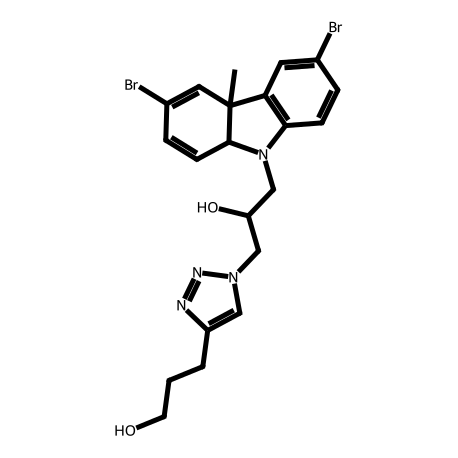 CC12C=C(Br)C=CC1N(CC(O)Cn1cc(CCCO)nn1)c1ccc(Br)cc12